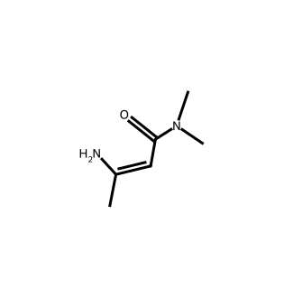 CC(N)=CC(=O)N(C)C